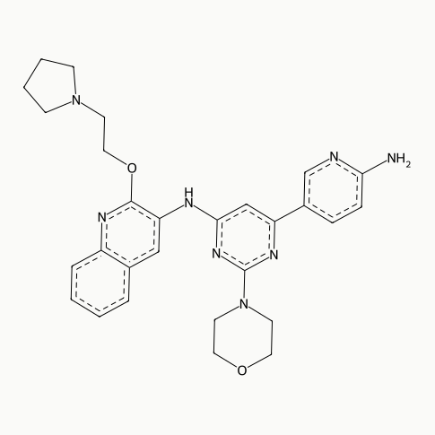 Nc1ccc(-c2cc(Nc3cc4ccccc4nc3OCCN3CCCC3)nc(N3CCOCC3)n2)cn1